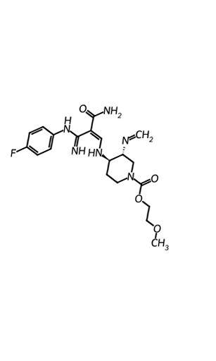 C=N[C@@H]1CN(C(=O)OCCOC)CC[C@H]1N/C=C(\C(=N)Nc1ccc(F)cc1)C(N)=O